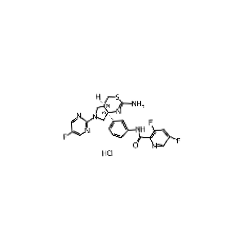 Cl.NC1=N[C@@]2(c3cccc(NC(=O)c4ncc(F)cc4F)c3)CN(c3ncc(F)cn3)C[C@H]2CS1